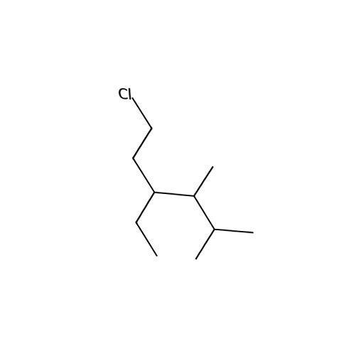 CCC(CCCl)C(C)C(C)C